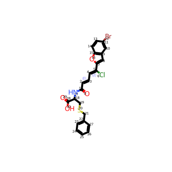 O=C(/C=C/C=C(\Cl)c1cc2cc(Br)ccc2o1)NC(CSCc1ccccc1)C(=O)O